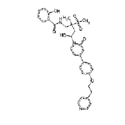 CC(CNC(=O)c1ccccc1O)(CC(O)n1ccc(-c2ccc(OCCc3ccncc3)cc2)cc1=O)S(C)(=O)=O